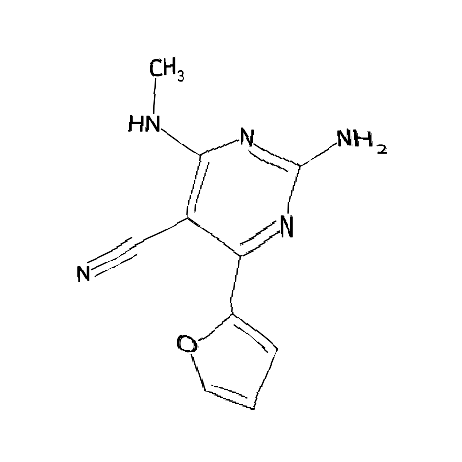 CNc1nc(N)nc(-c2ccco2)c1C#N